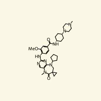 COc1cc(C(=O)N[C@H]2CC[C@H](N3CCN(C)CC3)CC2)ccc1Nc1ncc2c(n1)N(C1CCCC1)CC1(CC1)C(=O)N2C